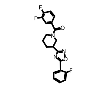 O=C(c1ccc(F)c(F)c1)N1CCCC(c2noc(-c3ccccc3F)n2)C1